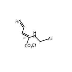 CCOC(=O)/C(=C/C=N)NCC(C)=O